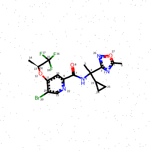 Cc1nc(C(C)(NC(=O)c2cc(O[C@@H](C)C(F)(F)F)c(Br)cn2)C2CC2)no1